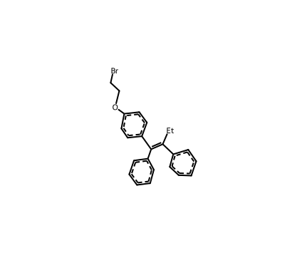 CCC(=C(c1ccccc1)c1ccc(OCCBr)cc1)c1ccccc1